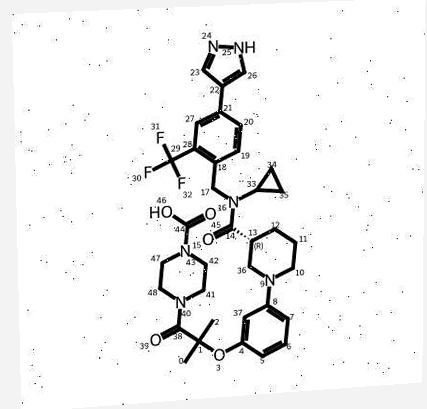 CC(C)(Oc1cccc(N2CCC[C@@H](C(=O)N(Cc3ccc(-c4cn[nH]c4)cc3C(F)(F)F)C3CC3)C2)c1)C(=O)N1CCN(C(=O)O)CC1